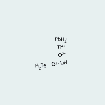 [LiH].[O-2].[O-2].[PbH2].[TeH2].[Ti+4]